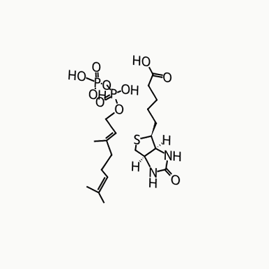 CC(C)=CCC/C(C)=C/COP(=O)(O)OP(=O)(O)O.O=C(O)CCCC[C@@H]1SC[C@@H]2NC(=O)N[C@@H]21